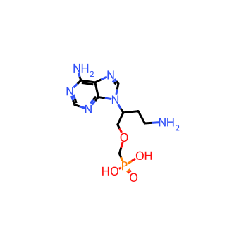 NCCC(COCP(=O)(O)O)n1cnc2c(N)ncnc21